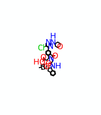 CC(C)(C)[Si](C)(C)O[C@@H]1Cc2ccccc2[C@@H]1NC(=O)CN1C(=O)c2cc(-c3nc(NC4CCOCC4)ncc3Cl)ccc2C1CC(=O)O